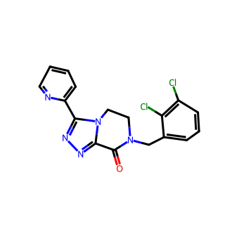 O=C1c2nnc(-c3ccccn3)n2CCN1Cc1cccc(Cl)c1Cl